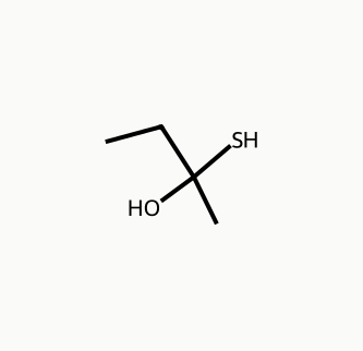 CCC(C)(O)S